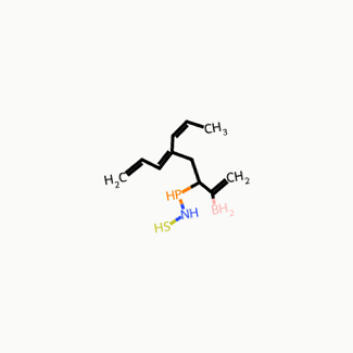 BC(=C)C(CC(/C=C\C)=C/C=C)PNS